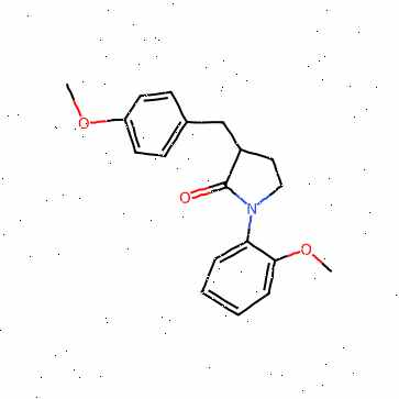 COc1ccc(CC2CCN(c3ccccc3OC)C2=O)cc1